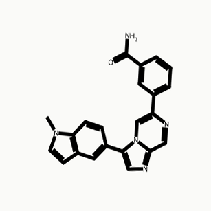 Cn1ccc2cc(-c3cnc4cnc(-c5cccc(C(N)=O)c5)cn34)ccc21